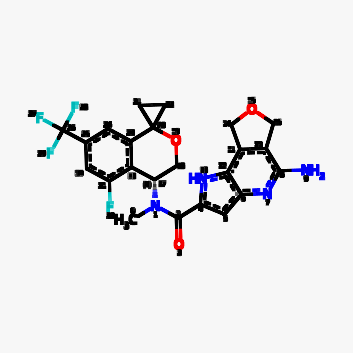 CN(C(=O)c1cc2nc(N)c3c(c2[nH]1)COC3)[C@H]1COC2(CC2)c2cc(C(F)(F)F)cc(F)c21